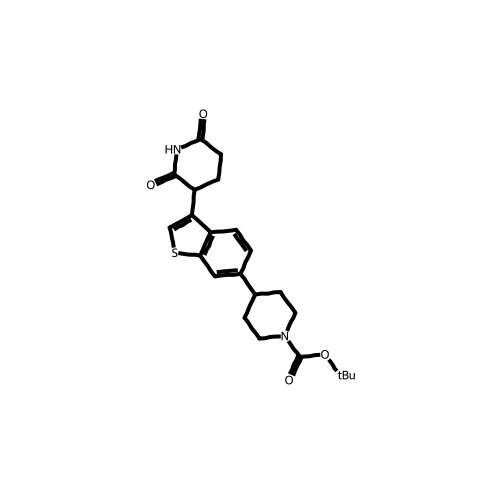 CC(C)(C)OC(=O)N1CCC(c2ccc3c(C4CCC(=O)NC4=O)csc3c2)CC1